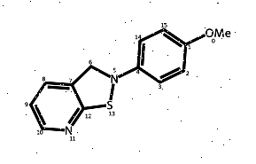 COc1ccc(N2Cc3cccnc3S2)cc1